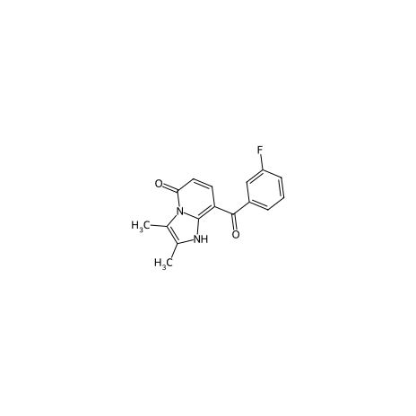 Cc1[nH]c2c(C(=O)c3cccc(F)c3)ccc(=O)n2c1C